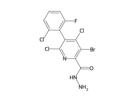 NNC(=O)c1nc(Cl)c(-c2c(F)cccc2Cl)c(Cl)c1Br